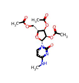 CNc1ccn([C@@H]2O[C@H](COC(C)=O)[C@@H](OC(C)=O)[C@H]2OC(C)=O)c(=O)n1